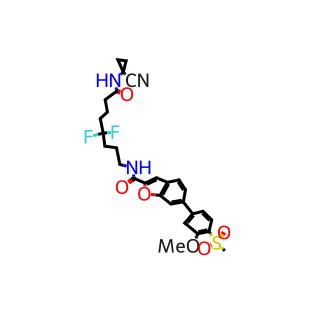 COc1cc(-c2ccc3cc(C(=O)NCCCC(F)(F)CCCC(=O)NC4(C#N)CC4)oc3c2)ccc1S(C)(=O)=O